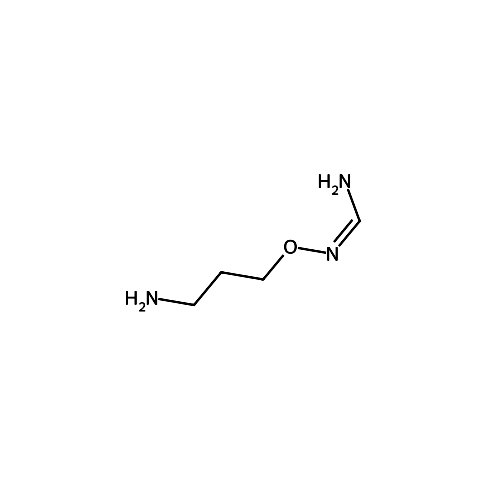 N/C=N\OCCCN